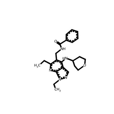 CCc1nc2c(cnn2CC)c(NC2CCOCC2)c1CNC(=O)c1ccccc1